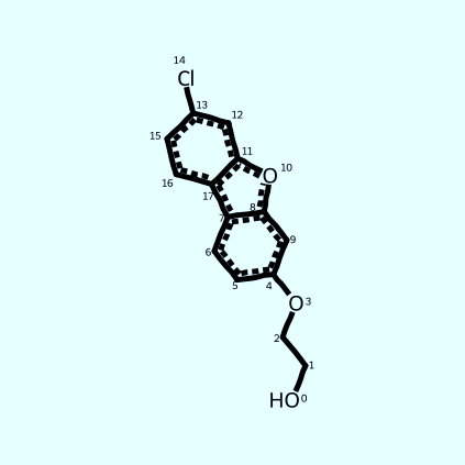 OCCOc1ccc2c(c1)oc1cc(Cl)ccc12